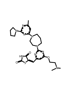 Cc1cc(N2CCCN(c3nc(C=C4SC(=O)NC4=O)cc(OCCN(C)C)n3)CC2)nc(N2CCCC2)n1